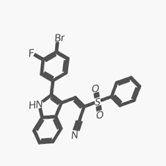 N#CC(=Cc1c(-c2ccc(Br)c(F)c2)[nH]c2ccccc12)S(=O)(=O)c1ccccc1